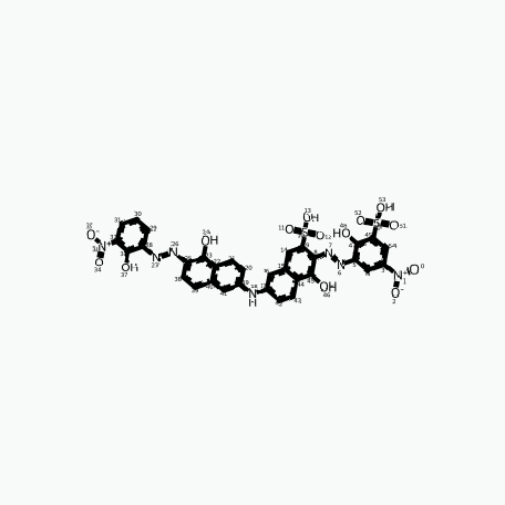 O=[N+]([O-])c1cc(N=Nc2c(S(=O)(=O)O)cc3cc(Nc4ccc5c(O)c(N=Nc6cccc([N+](=O)[O-])c6O)ccc5c4)ccc3c2O)c(O)c(S(=O)(=O)O)c1